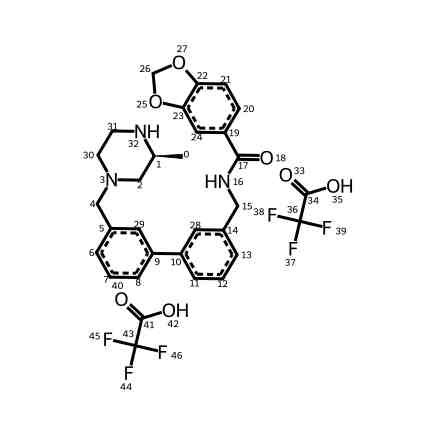 C[C@H]1CN(Cc2cccc(-c3cccc(CNC(=O)c4ccc5c(c4)OCO5)c3)c2)CCN1.O=C(O)C(F)(F)F.O=C(O)C(F)(F)F